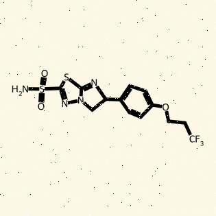 NS(=O)(=O)C1=NN2CC(c3ccc(OCCC(F)(F)F)cc3)N=C2S1